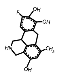 Cc1cc(O)c2c3c1Cc1c(cc(F)c(O)c1O)C3CNC2